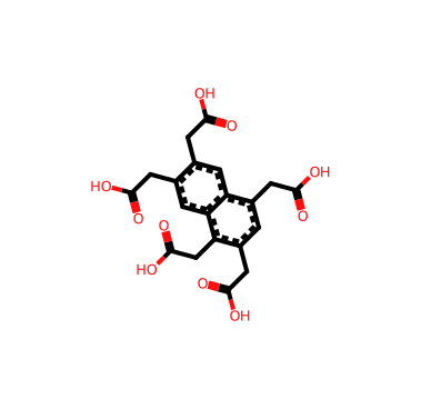 O=C(O)Cc1cc2c(CC(=O)O)cc(CC(=O)O)c(CC(=O)O)c2cc1CC(=O)O